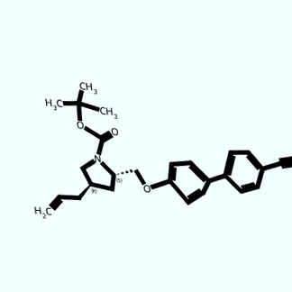 C=CC[C@@H]1C[C@@H](COc2ccc(-c3ccc(C#N)cc3)cc2)N(C(=O)OC(C)(C)C)C1